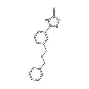 O=c1[nH]c(-c2cccc(COCc3ccccc3)c2)no1